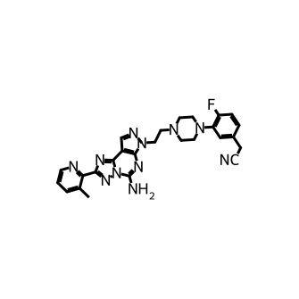 Cc1cccnc1-c1nc2c3cnn(CCN4CCN(c5cc(CC#N)ccc5F)CC4)c3nc(N)n2n1